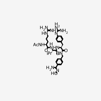 CC(=O)N[C@@H](CCCNC(=N)N)C(=O)N[C@H](C(=O)N[C@@H](Cc1ccc(N=C(N)N)cc1)C(=O)NCc1ccc(/C(N)=N/O)cc1)C(C)C